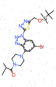 CC(C)C(=O)N1CCN(c2cc(Br)cc3c2nnn3-c2nnc(CO[Si](C)(C)C(C)(C)C)s2)CC1